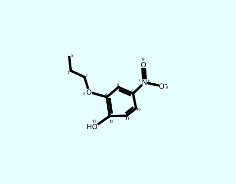 CCCOc1cc([N+](=O)[O-])ccc1O